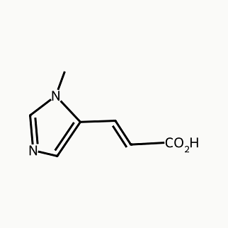 Cn1cncc1C=CC(=O)O